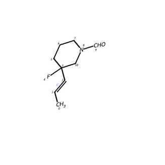 C/C=C/C1(F)CCCN(C=O)C1